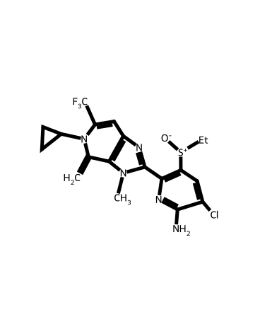 C=C1c2c(nc(-c3nc(N)c(Cl)cc3[S+]([O-])CC)n2C)C=C(C(F)(F)F)N1C1CC1